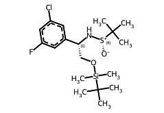 CC(C)(C)[S@+]([O-])N[C@H](CO[Si](C)(C)C(C)(C)C)c1cc(F)cc(Cl)c1